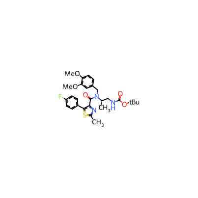 COc1ccc(CN(C(=O)c2nc(C)sc2-c2ccc(F)cc2)[C@H](C)CNC(=O)OC(C)(C)C)cc1OC